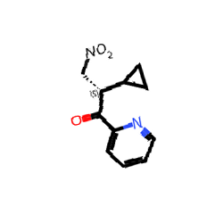 O=C(c1ccccn1)[C@H](C[N+](=O)[O-])C1CC1